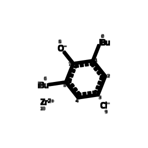 CCC(C)c1cccc(C(C)CC)c1[O-].[Cl-].[Zr+2]